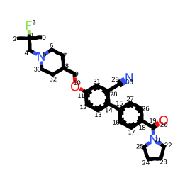 CC(C)(F)CN1CCC(COc2ccc(-c3ccc(C(=O)N4CCCC4)cc3)c(C#N)c2)CC1